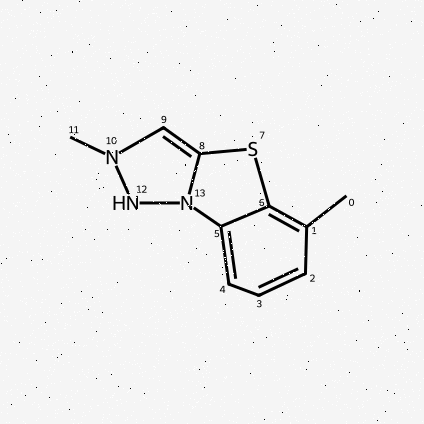 Cc1cccc2c1SC1=CN(C)NN12